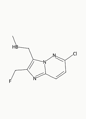 CBCc1c(CF)nc2ccc(Cl)nn12